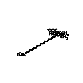 CCCCCCCCCCCCCCCCCCCCCCCCCCC(O)(CC(=O)[O-])C[N+](C)(C)C